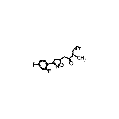 CC(C)CN(C)C(=O)CC1CC(c2ccc(F)cc2F)=NO1